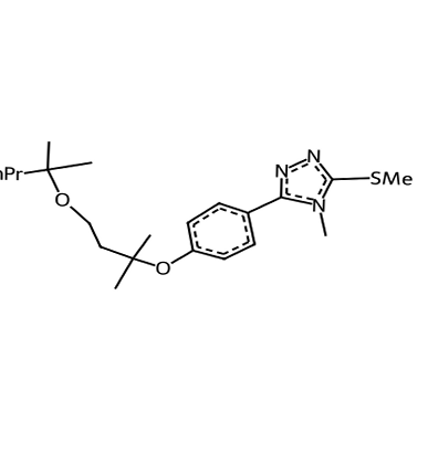 CCCC(C)(C)OCCC(C)(C)Oc1ccc(-c2nnc(SC)n2C)cc1